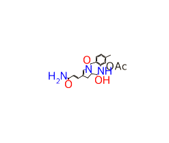 CC(=O)Oc1c(C)ccc2c1NC(O)C1CC(C=CC(N)=O)=CN1C2=O